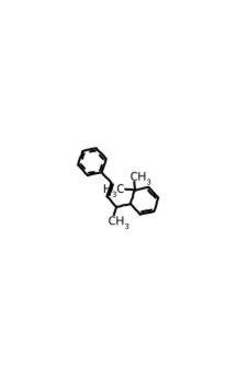 CC(C=Cc1ccccc1)C1C=CC=CC1(C)C